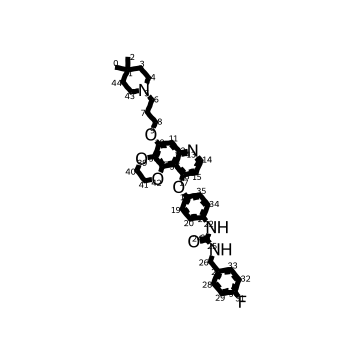 CC1(C)CCN(CCCOc2cc3nccc(Oc4ccc(NC(=O)NCc5ccc(F)cc5)cc4)c3c3c2OCCO3)CC1